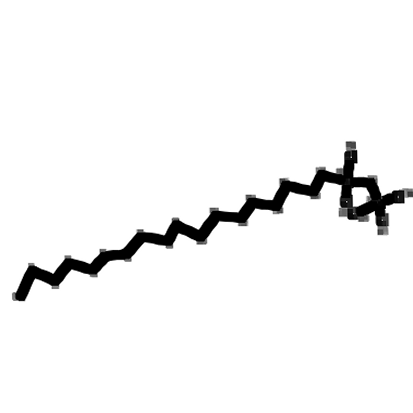 CCCCCCCCCCCCCCCCCC[Si](Cl)(Cl)C[Si](Cl)(Cl)Cl